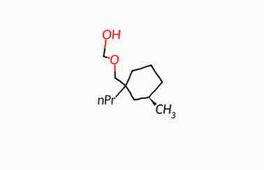 CCCC1(COCO)CCC[C@@H](C)C1